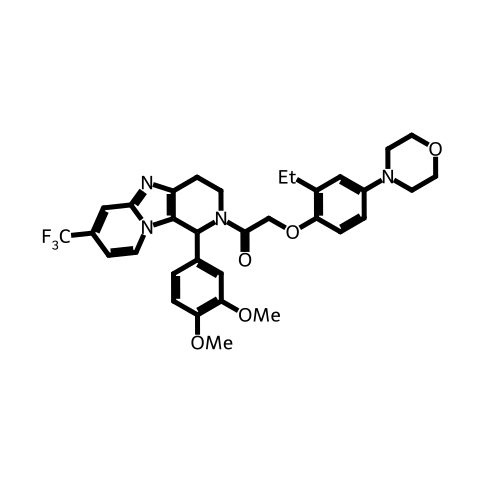 CCc1cc(N2CCOCC2)ccc1OCC(=O)N1CCc2nc3cc(C(F)(F)F)ccn3c2C1c1ccc(OC)c(OC)c1